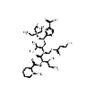 CCCC(=O)OCN(C(=O)[C@@H](NC(=O)C1CCCCN1C)[C@@H](C)CC)[C@H](C[C@@H](O[Si](CC)(CC)CC)c1nc(C(=O)O)cs1)C(C)C